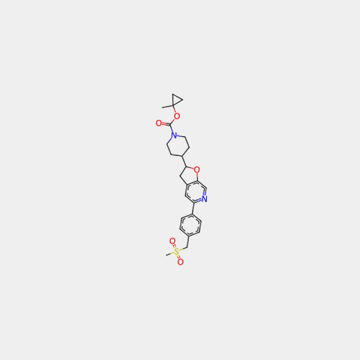 CC1(OC(=O)N2CCC(C3Cc4cc(-c5ccc(CS(C)(=O)=O)cc5)ncc4O3)CC2)CC1